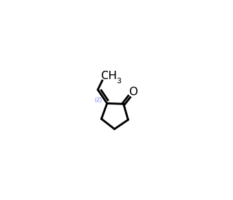 C/C=C1/CCCC1=O